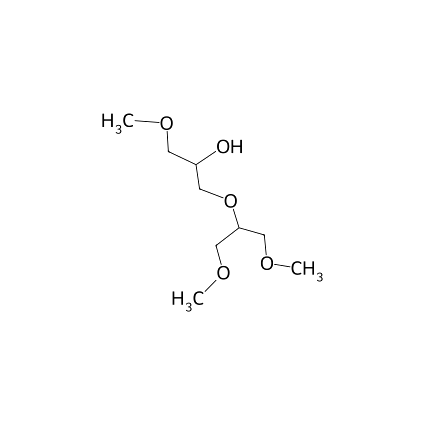 COCC(O)COC(COC)COC